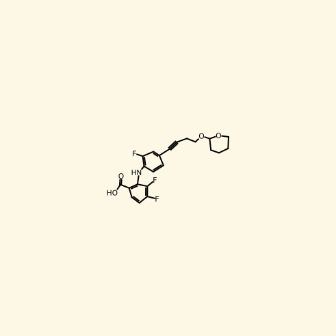 O=C(O)c1ccc(F)c(F)c1Nc1ccc(C#CCCOC2CCCCO2)cc1F